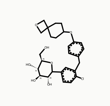 OC[C@H]1OC(c2ccc(Cl)c(Cc3ccc(OC4CCC5(CC4)COC5)cc3)c2)[C@H](O)[C@@H](O)[C@@H]1O